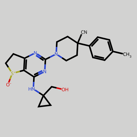 Cc1ccc(C2(C#N)CCN(c3nc4c(c(NC5(CO)CC5)n3)[S+]([O-])CC4)CC2)cc1